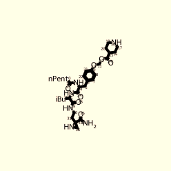 CCCCCC(=O)NC(Cc1ccc(OCOC(=O)C2CCNCC2)cc1)C(=O)NC(C(=O)NCCC1(C(N)=O)CN1)C(C)CC